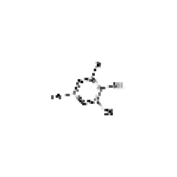 CCCc1cc(Br)c(N)c(C#N)c1